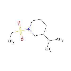 CCS(=O)(=O)N1CCCC(C(C)C)C1